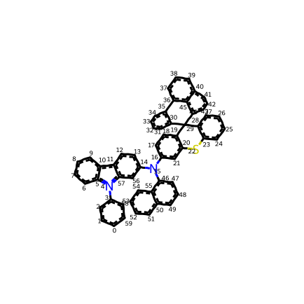 c1ccc(-n2c3ccccc3c3ccc(N(c4ccc5c(c4)Sc4ccccc4C54c5ccccc5-c5cccc6cccc4c56)c4cccc5ccccc45)cc32)cc1